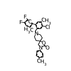 Cc1ccc(N2CC3(CCN(Cc4cc(Cl)c(C)cc4-c4cc(F)c(F)cc4C)CC3)OC2=O)cc1